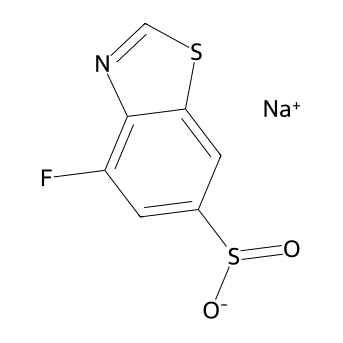 O=S([O-])c1cc(F)c2ncsc2c1.[Na+]